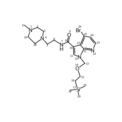 CN1CCN(CCNC(=O)c2cn(COCC[Si](C)(C)C)c3nccc(Br)c23)CC1